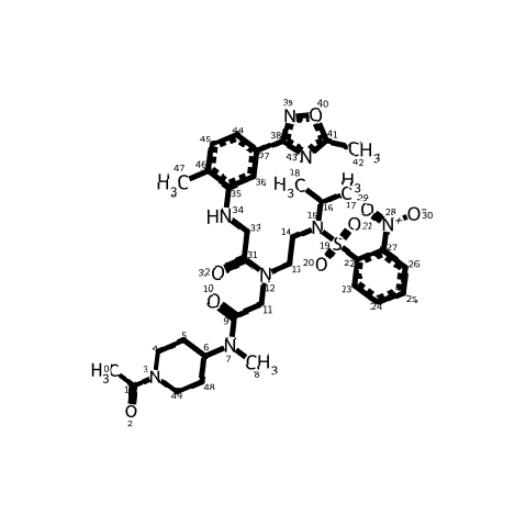 CC(=O)N1CCC(N(C)C(=O)CN(CCN(C(C)C)S(=O)(=O)c2ccccc2[N+](=O)[O-])C(=O)CNc2cc(-c3noc(C)n3)ccc2C)CC1